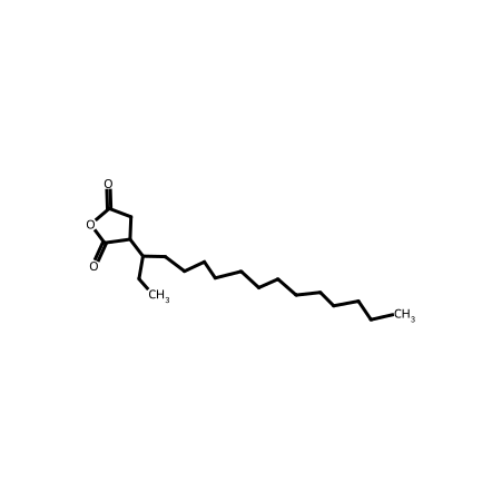 CCCCCCCCCCCCCC(CC)C1CC(=O)OC1=O